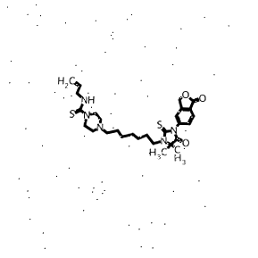 C=CCNC(=S)N1CCN(CCCCCCCN2C(=S)N(c3ccc4c(c3)COC4=O)C(=O)C2(C)C)CC1